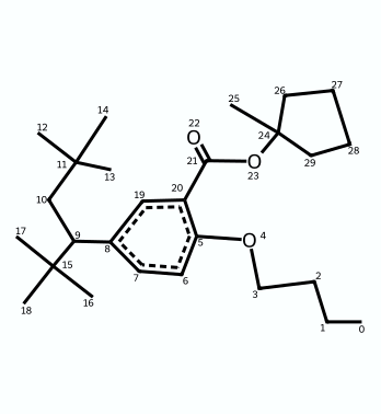 CCCCOc1ccc(C(CC(C)(C)C)C(C)(C)C)cc1C(=O)OC1(C)CCCC1